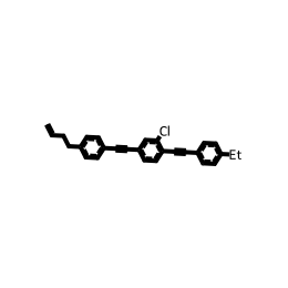 C=CCCc1ccc(C#Cc2ccc(C#Cc3ccc(CC)cc3)c(Cl)c2)cc1